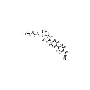 CCCCCCC(C)[C@H]1CC[C@H](c2ccc(-c3ccc(CC#N)cc3)cc2)CC1